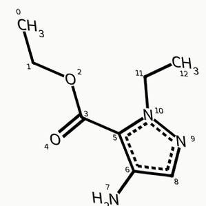 CCOC(=O)c1c(N)cnn1CC